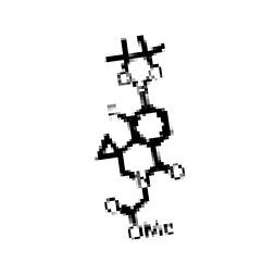 COC(=O)CN1CC2(CC2)c2c(ccc(B3OC(C)(C)C(C)(C)O3)c2F)C1=O